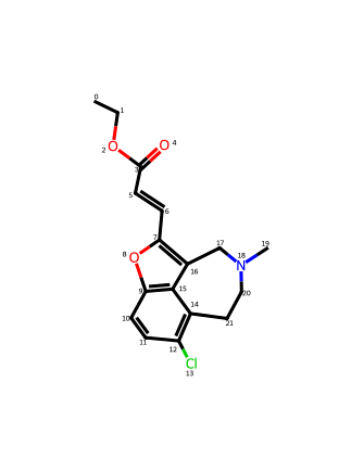 CCOC(=O)C=Cc1oc2ccc(Cl)c3c2c1CN(C)CC3